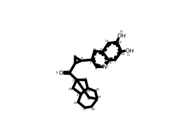 O=C(C1CC1c1cnc2cc(O)c(O)cc2c1)C12CC3CCCC(C1)C(C3)C2